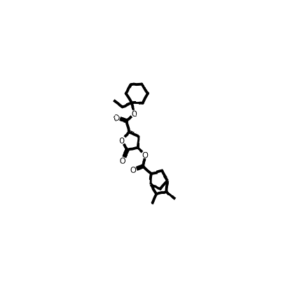 CCC1(OC(=O)C2CC(OC(=O)C3CC4CC3C(C)C4C)C(=O)O2)CCCCC1